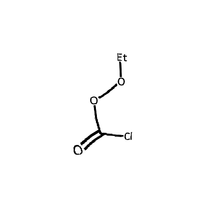 CCOOC(=O)Cl